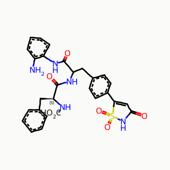 Nc1ccccc1NC(=O)C(Cc1ccc(C2=CC(=O)NS2(=O)=O)cc1)NC(=O)[C@H](Cc1ccccc1)NC(=O)O